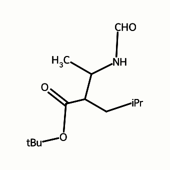 CC(C)CC(C(=O)OC(C)(C)C)C(C)NC=O